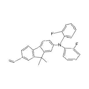 C=Cc1ccc2c(c1)C(C)(C)c1cc(N(c3ccccc3F)c3ccccc3F)ccc1-2